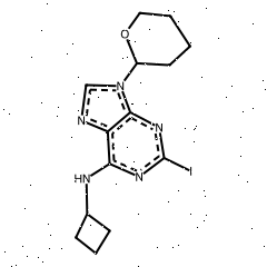 Ic1nc(NC2CCC2)c2ncn(C3CCCCO3)c2n1